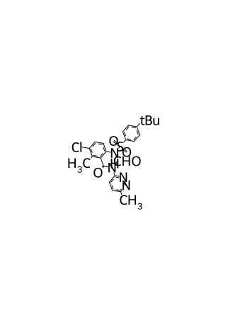 Cc1ccc(N(C=O)C(=O)c2c(NS(=O)(=O)c3ccc(C(C)(C)C)cc3)ccc(Cl)c2C)nn1